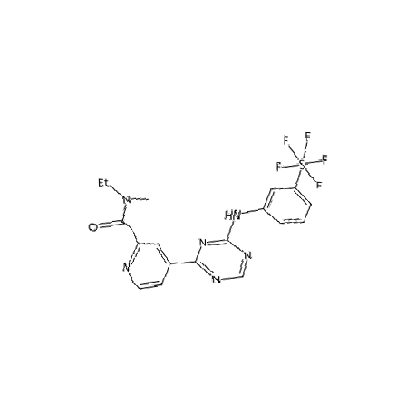 CCN(C)C(=O)c1cc(-c2ncnc(Nc3cccc(S(F)(F)(F)(F)F)c3)n2)ccn1